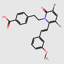 COc1cccc(C=Cc2c(Br)cc(Br)c(=O)n2CCc2ccc(C(=O)O)cc2)c1